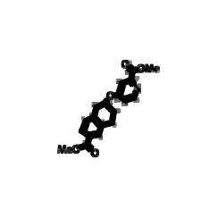 COC(=O)c1ccc2c(c1)CCC(Oc1ccnc(C(=O)OC)c1)C2